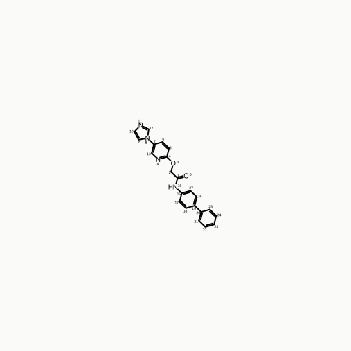 O=C(COc1ccc(-n2ccnc2)cn1)Nc1ccc(-c2ccccc2)cc1